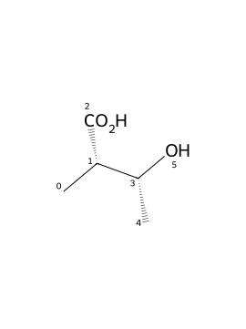 C[C@H](C(=O)O)[C@@H](C)O